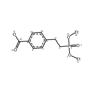 CCOP(=O)(CCc1ccc(C([O])=O)cc1)OCC